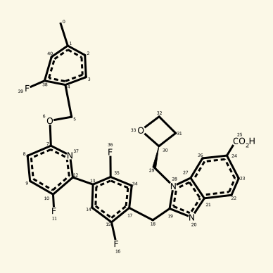 Cc1ccc(COc2ccc(F)c(-c3cc(F)c(Cc4nc5ccc(C(=O)O)cc5n4C[C@@H]4CCO4)cc3F)n2)c(F)c1